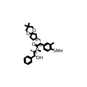 CSc1ccc([C@@H](C[C@H]2CCC3(C2)OCC(C)(C)CO3)C(=O)N(C)[C@H](C)[C@H](O)c2ccccc2)cc1C